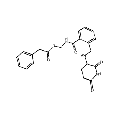 O=C1CCC(NCc2ccccc2C(=O)NCOC(=O)Cc2ccccc2)C(=O)N1